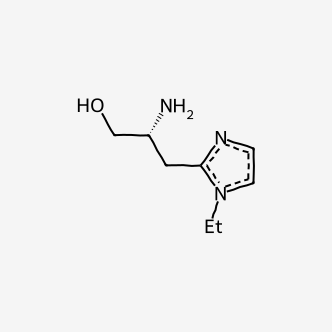 CCn1ccnc1C[C@@H](N)CO